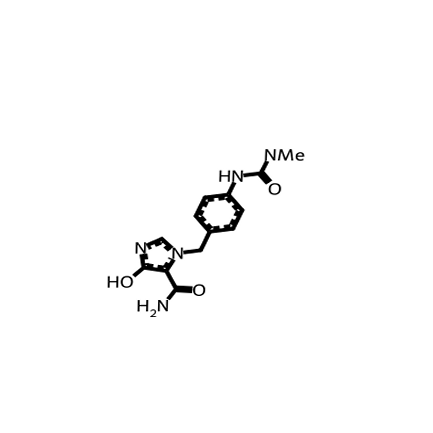 CNC(=O)Nc1ccc(Cn2cnc(O)c2C(N)=O)cc1